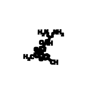 C#Cc1ccc2c(c1)Oc1cc(=C)ccc1=C2c1ccc(C(=O)NCCC(CCN)CCN)cc1C(=O)O